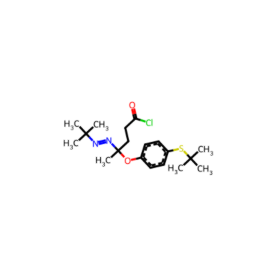 CC(C)(C)/N=N/C(C)(CCC(=O)Cl)Oc1ccc(SC(C)(C)C)cc1